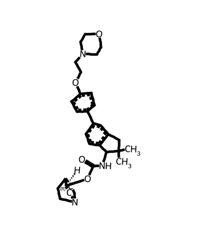 CC1(C)Cc2cc(-c3ccc(OCCN4CCOCC4)cc3)ccc2C1NC(=O)O[C@H]1CN2CCC1CC2